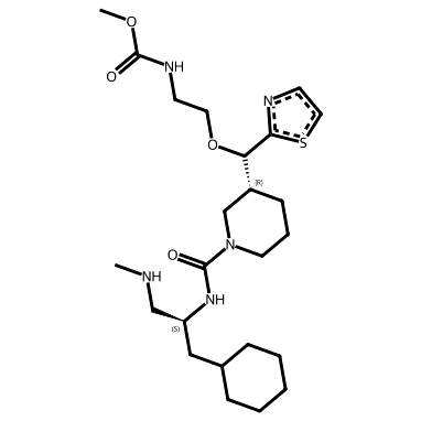 CNC[C@H](CC1CCCCC1)NC(=O)N1CCC[C@@H](C(OCCNC(=O)OC)c2nccs2)C1